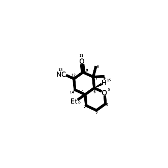 CCC12CCCO[C@H]1C(C)(C)C(=O)C(C#N)C2